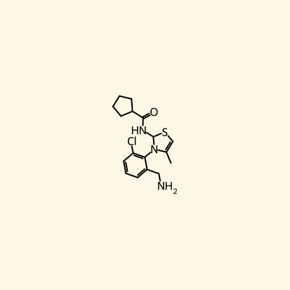 CC1=CSC(NC(=O)C2CCCC2)N1c1c(Cl)cccc1CN